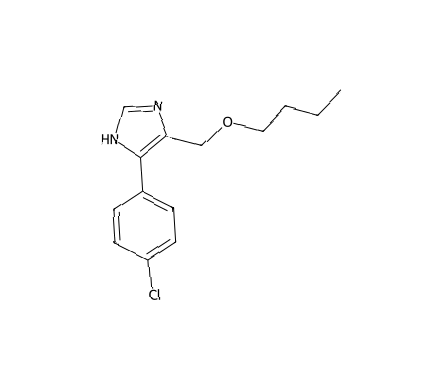 CCCCOCc1nc[nH]c1-c1ccc(Cl)cc1